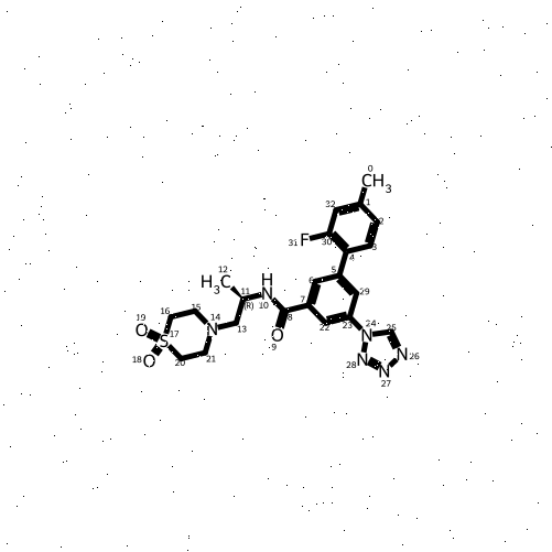 Cc1ccc(-c2cc(C(=O)N[C@H](C)CN3CCS(=O)(=O)CC3)cc(-n3cnnn3)c2)c(F)c1